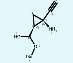 C#C[C@@]1(N)C[C@@H]1C(O)OC(C)(C)C